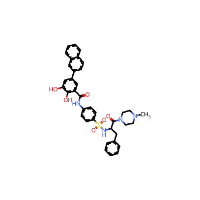 CN1CCN(C(=O)C(Cc2ccccc2)NS(=O)(=O)c2ccc(NC(=O)c3cc(-c4ccc5ccccc5c4)cc(O)c3O)cc2)CC1